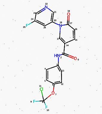 O=C(Nc1ccc(OC(F)(F)Cl)cc1)c1ccc(=O)n(-c2cncc(F)c2)c1